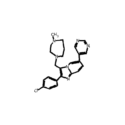 CN1CCCN(Cc2c(-c3ccc(Cl)cc3)nc3ccc(-c4cncnc4)cn23)CC1